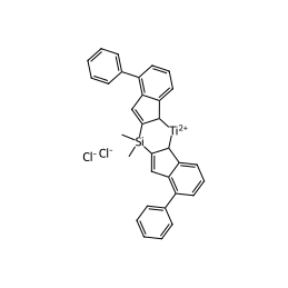 C[Si]1(C)C2=Cc3c(-c4ccccc4)cccc3[CH]2[Ti+2][CH]2C1=Cc1c(-c3ccccc3)cccc12.[Cl-].[Cl-]